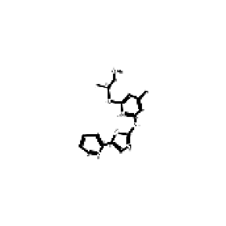 COC[C@H](C)Oc1cc(C)cc(Nc2ncc(-c3ccccn3)s2)n1